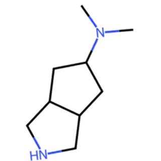 CN(C)C1CC2CNCC2C1